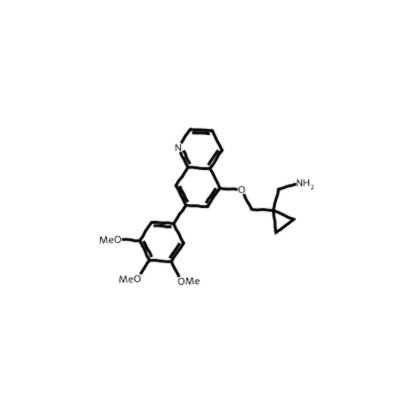 COc1cc(-c2cc(OCC3(CN)CC3)c3cccnc3c2)cc(OC)c1OC